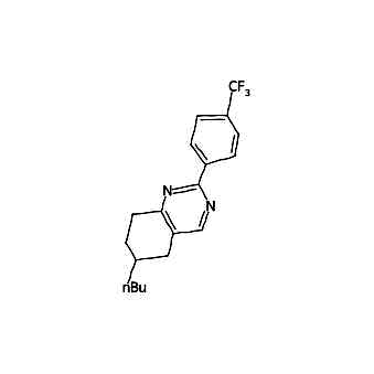 CCCCC1CCc2nc(-c3ccc(C(F)(F)F)cc3)ncc2C1